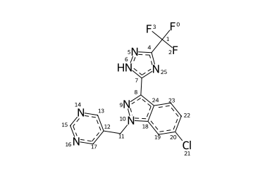 FC(F)(F)c1n[nH]c(-c2nn(Cc3cncnc3)c3cc(Cl)ccc23)n1